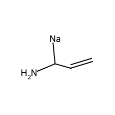 C=C[CH](N)[Na]